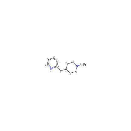 CCCN1CCC(Cc2ccccn2)CC1